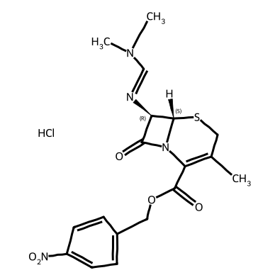 CC1=C(C(=O)OCc2ccc([N+](=O)[O-])cc2)N2C(=O)[C@@H](N=CN(C)C)[C@@H]2SC1.Cl